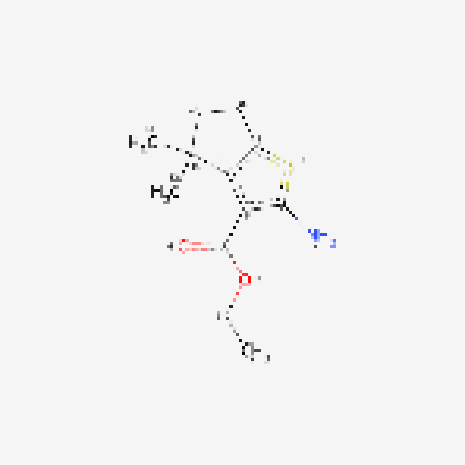 CCOC(=O)c1c(N)sc2c1C(C)(C)CC2